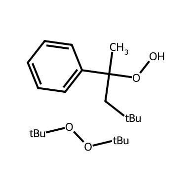 CC(C)(C)CC(C)(OO)c1ccccc1.CC(C)(C)OOC(C)(C)C